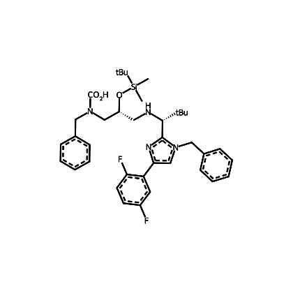 CC(C)(C)[C@@H](NC[C@H](CN(Cc1ccccc1)C(=O)O)O[Si](C)(C)C(C)(C)C)c1nc(-c2cc(F)ccc2F)cn1Cc1ccccc1